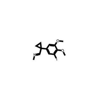 C/N=C/C1(c2cc(I)c(OC)c(OC)c2)CC1